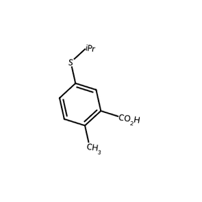 Cc1ccc(SC(C)C)cc1C(=O)O